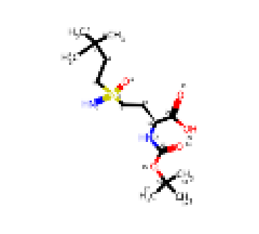 CC(C)(C)CCS(=N)(=O)CC[C@H](NC(=O)OC(C)(C)C)C(=O)O